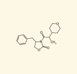 CC(C(=O)N1C(=O)OCC1Cc1ccccc1)C1CCOCC1